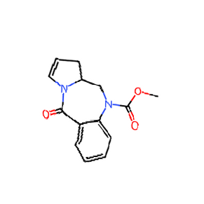 COC(=O)N1CC2CC=CN2C(=O)c2ccccc21